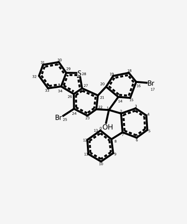 OC1(c2ccccc2-c2ccccc2)c2cc(Br)ccc2-c2c1cc(Br)c1c2sc2ccccc21